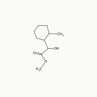 COC(=O)C(O)C1CCCCC1C